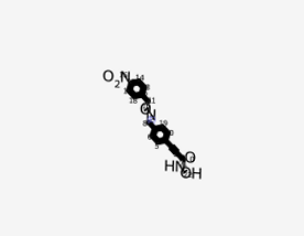 O=C(C#Cc1ccc(/C=N/OCc2ccc([N+](=O)[O-])cc2)cc1)NO